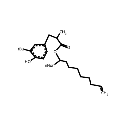 C=CCCCCCCC(CCCCCCCCC)OC(=O)C(C)Cc1ccc(O)c(C(C)(C)C)c1